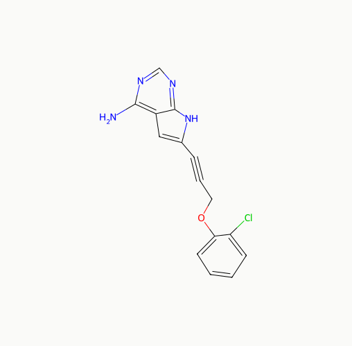 Nc1ncnc2[nH]c(C#CCOc3ccccc3Cl)cc12